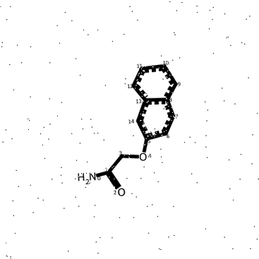 NC(=O)COc1ccc2ccccc2c1